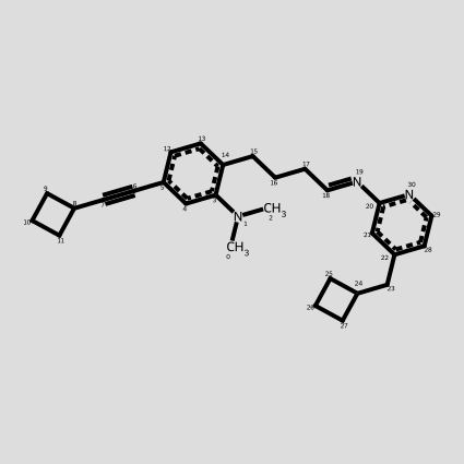 CN(C)c1cc(C#CC2CCC2)ccc1CCC/C=N/c1cc(CC2CCC2)ccn1